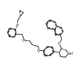 c1ccc(OCC2CC2)c(COCCCOc2ccc(C3CCNCC3OCc3ccc4ccccc4c3)cc2)c1